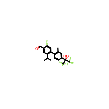 Cc1cc(C(O)(C(F)(F)F)C(F)(F)F)ccc1-c1cc(F)c(C=O)cc1C(C)C